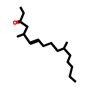 CCCCCC(C)CCCC=CC(C)CC(=O)CC